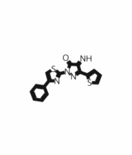 N=C1C(=O)N(c2nc(-c3ccccc3)cs2)N=C1c1cccs1